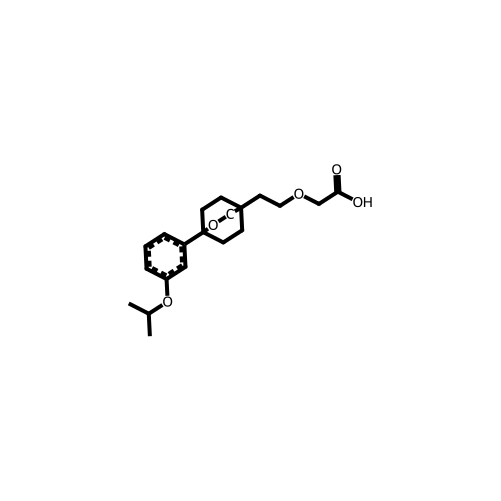 CC(C)Oc1cccc(C23CCC(CCOCC(=O)O)(CC2)CO3)c1